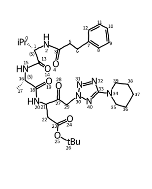 CC(C)[C@H](NC(=O)CCc1ccccc1)C(=O)N[C@@H](C)C(=O)NC(CC(=O)OC(C)(C)C)C(=O)Cn1nnc(N2CCCCC2)n1